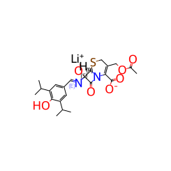 CO[C@@]1(/N=C/c2cc(C(C)C)c(O)c(C(C)C)c2)C(=O)N2C(C(=O)[O-])=C(COC(C)=O)CS[C@@H]21.[Li+]